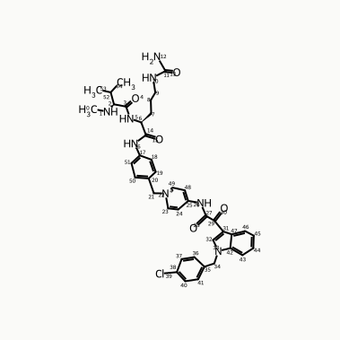 CN[C@H](C(=O)N[C@@H](CCCNC(N)=O)C(=O)Nc1ccc(C[n+]2ccc(NC(=O)C(=O)c3cn(Cc4ccc(Cl)cc4)c4ccccc34)cc2)cc1)C(C)C